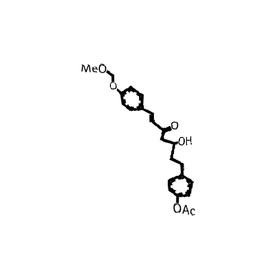 COCOc1ccc(C=CC(=O)CC(O)CCc2ccc(OC(C)=O)cc2)cc1